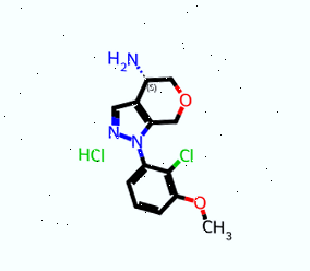 COc1cccc(-n2ncc3c2COC[C@H]3N)c1Cl.Cl